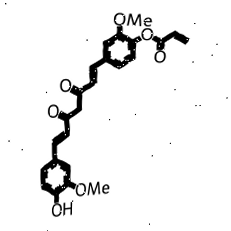 C=CC(=O)Oc1ccc(/C=C/C(=O)CC(=O)/C=C/c2ccc(O)c(OC)c2)cc1OC